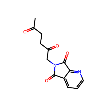 CC(=O)CCC(=O)CN1C(=O)c2cccnc2C1=O